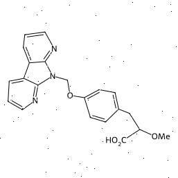 COC(Cc1ccc(OCn2c3ncccc3c3cccnc32)cc1)C(=O)O